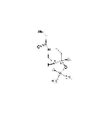 CC[C@]12CCN(C(=O)OC(C)(C)C)C[C@H]1OC(C)(C)O2